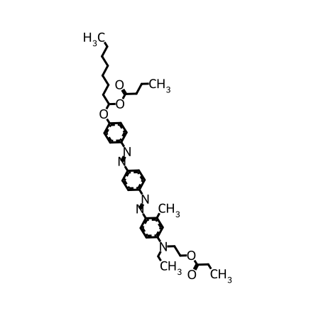 CCCCCCCC(OC(=O)CCC)Oc1ccc(N=Nc2ccc(N=Nc3ccc(N(CC)CCOC(=O)CC)cc3C)cc2)cc1